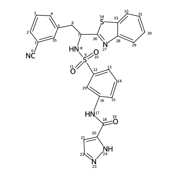 N#Cc1cccc(CC(NS(=O)(=O)c2cccc(NC(=O)c3ccn[nH]3)c2)c2nc3ccccc3s2)c1